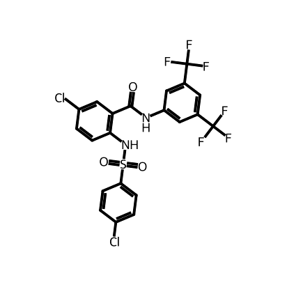 O=C(Nc1cc(C(F)(F)F)cc(C(F)(F)F)c1)c1cc(Cl)ccc1NS(=O)(=O)c1ccc(Cl)cc1